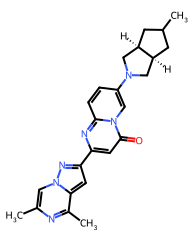 Cc1cn2nc(-c3cc(=O)n4cc(N5C[C@H]6CC(C)C[C@H]6C5)ccc4n3)cc2c(C)n1